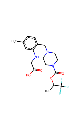 Cc1ccc(CN2CCN(C(=O)OC(C)C(F)(F)F)CC2)c(NCC(=O)O)c1